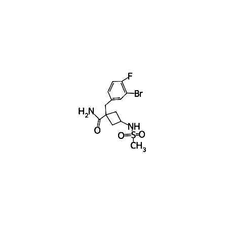 CS(=O)(=O)NC1CC(Cc2ccc(F)c(Br)c2)(C(N)=O)C1